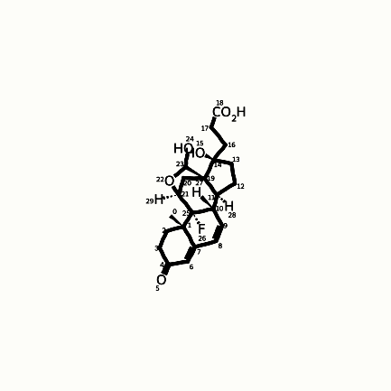 C[C@]12CCC(=O)C=C1C=C[C@H]1[C@@H]3CC[C@@](O)(CCC(=O)O)[C@@]34C[C@H](OC4O)[C@@]12F